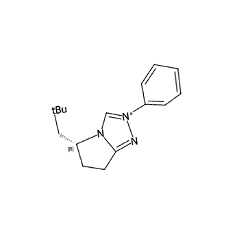 CC(C)(C)C[C@H]1CCc2n[n+](-c3ccccc3)cn21